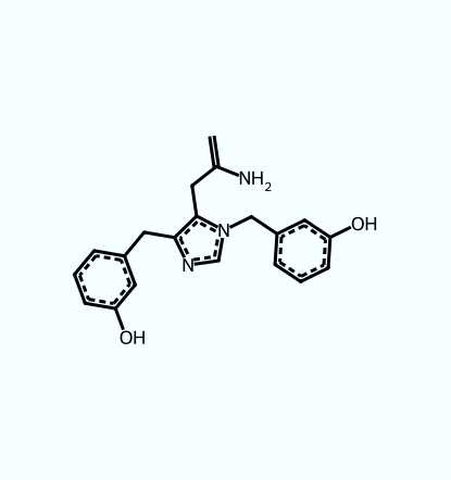 C=C(N)Cc1c(Cc2cccc(O)c2)ncn1Cc1cccc(O)c1